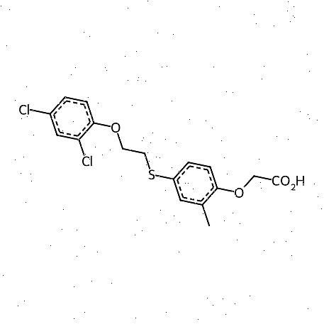 Cc1cc(SCCOc2ccc(Cl)cc2Cl)ccc1OCC(=O)O